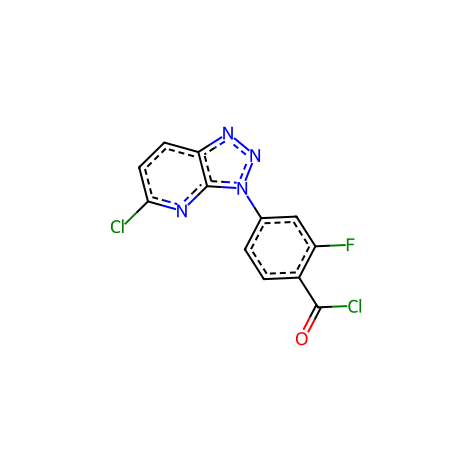 O=C(Cl)c1ccc(-n2nnc3ccc(Cl)nc32)cc1F